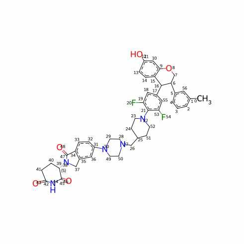 Cc1cccc(C2COc3cc(O)ccc3C2c2cc(F)c(N3CCC(CN4CCN(c5ccc6c(c5)CN([C@H]5CCC(=O)NC5=O)C6=O)CC4)CC3)c(F)c2)c1